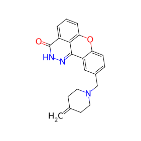 C=C1CCN(Cc2ccc3c(c2)-c2n[nH]c(=O)c4cccc(c24)O3)CC1